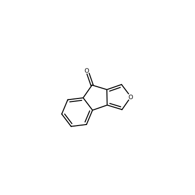 O=C1c2ccccc2-c2cocc21